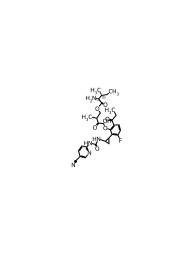 CCC(=O)c1ccc(F)c(C2CC2NC(=O)Nc2ccc(C#N)cn2)c1OC(O)C(=O)C(C)COC(=O)[C@@H](N)[C@@H](C)CC